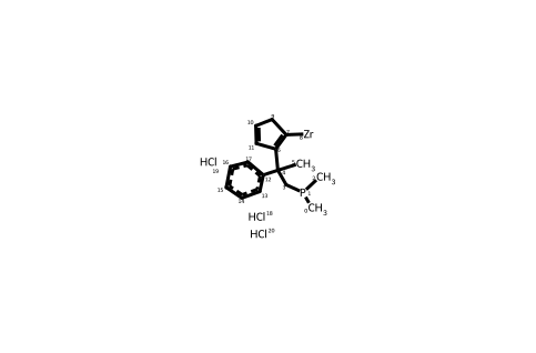 CP(C)CC(C)(C1=[C]([Zr])CC=C1)c1ccccc1.Cl.Cl.Cl